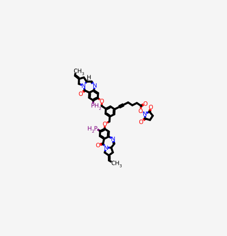 C/C=C1\CC2C=Nc3cc(OCc4cc(C#CCCCC(=O)ON5C(=O)CCC5=O)cc(COc5cc6c(cc5P)C(=O)N5C/C(=C/C)C[C@H]5C=N6)c4)c(P)cc3C(=O)N2C1